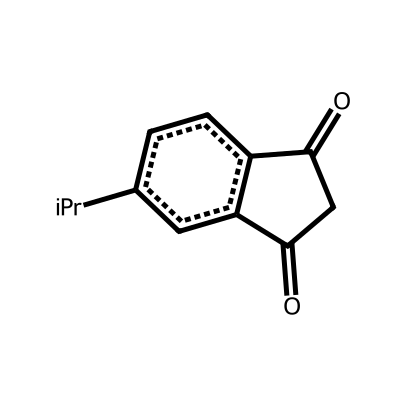 CC(C)c1ccc2c(c1)C(=O)CC2=O